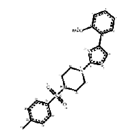 COc1ccccc1-c1csc(N2CCN(S(=O)(=O)c3ccc(C)cc3)CC2)n1